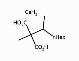 CCCCCCC(C)C(C)(C(=O)O)C(=O)O.[CaH2]